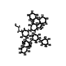 CCCc1cc(-c2cc3sc4cccc5c6ccccc6c(c2)c3c45)cc(-c2nc3ccccc3nc2-c2cccc(-c3ccccc3)c2)c1